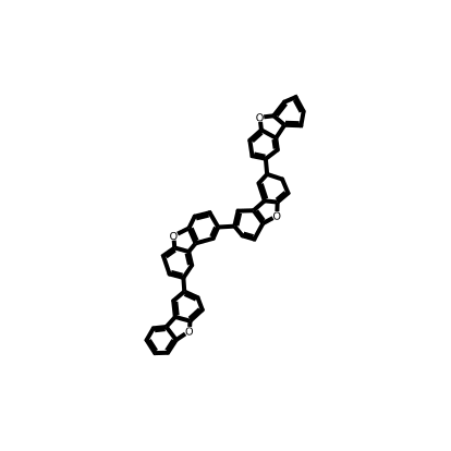 C1=c2oc3ccc(-c4ccc5oc6ccc(-c7ccc8oc9ccccc9c8c7)cc6c5c4)cc3c2=CC(c2ccc3oc4ccccc4c3c2)C1